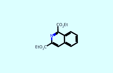 CCOC(=O)c1cc2ccccc2c(C(=O)OCC)n1